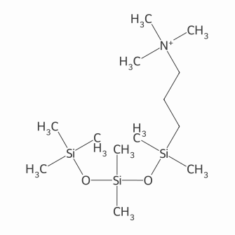 C[N+](C)(C)CCC[Si](C)(C)O[Si](C)(C)O[Si](C)(C)C